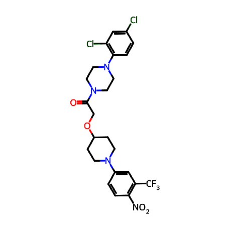 O=C(COC1CCN(c2ccc([N+](=O)[O-])c(C(F)(F)F)c2)CC1)N1CCN(c2ccc(Cl)cc2Cl)CC1